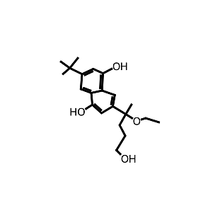 CCOC(C)(CCCO)c1cc(O)c2cc(C(C)(C)C)cc(O)c2c1